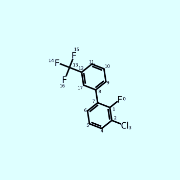 Fc1c(Cl)cccc1-c1cc[c]c(C(F)(F)F)c1